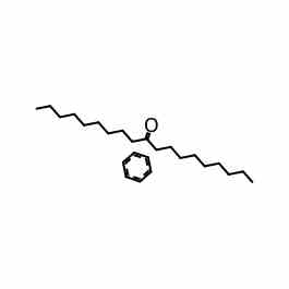 CCCCCCCCCC(=O)CCCCCCCCC.c1ccccc1